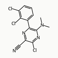 CN(C)c1nc(Cl)c(C#N)nc1-c1cccc(Cl)c1Cl